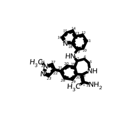 C/C(N)=C1/NCCC(Nc2cccc3cccnc23)c2cc(-c3cnn(C)c3)ccc21